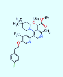 Cc1ncc(-c2cc(C(F)(F)F)c(OCCc3ccc(F)cc3)cn2)c(N2CCC(C)(C)CC2)c1[C@H](OC(C)(C)C)C(=O)OC(C)C